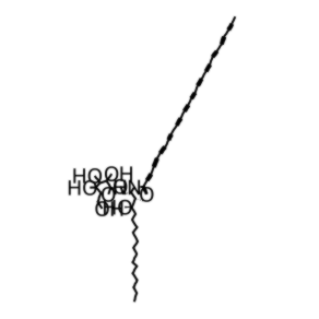 CC#CC#CC#CC#CC#CC#CC#CC#CC#CC#CC#CC#CC(=O)N[C@@H](COC1OC(CO)C(O)C(O)C1O)[C@H](C)[C@H](O)CCCCCCCCCCCCCC